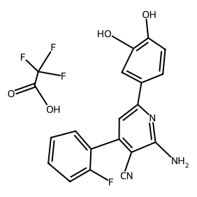 N#Cc1c(-c2ccccc2F)cc(-c2ccc(O)c(O)c2)nc1N.O=C(O)C(F)(F)F